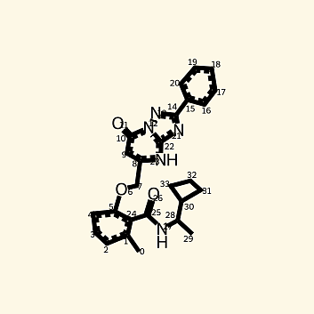 Cc1cccc(OCc2cc(=O)n3nc(-c4ccccc4)nc3[nH]2)c1C(=O)NC(C)C1CCC1